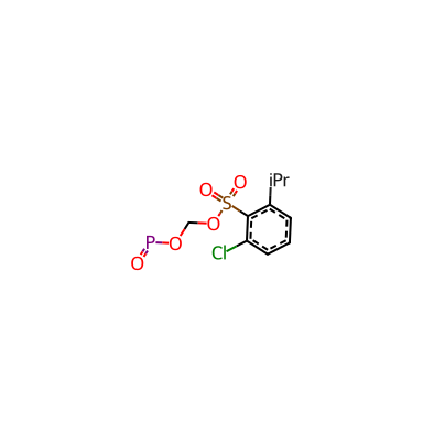 CC(C)c1cccc(Cl)c1S(=O)(=O)OCOP=O